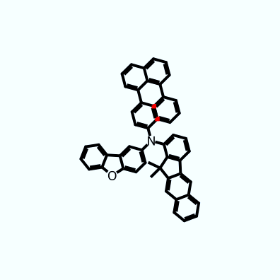 CC1(C)c2cc3ccccc3cc2-c2cccc(N(c3ccc(-c4cccc5cccc(-c6ccccc6)c45)cc3)c3ccc4oc5ccccc5c4c3)c21